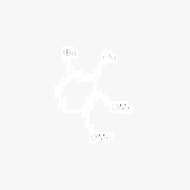 COc1ccc(C(C)(C)C)c(C(C)(C)C)c1OC